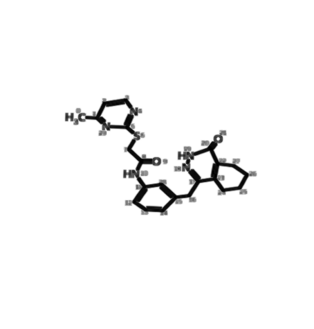 Cc1ccnc(SCC(=O)Nc2cccc(Cc3n[nH]c(=O)c4c3CCCC4)c2)n1